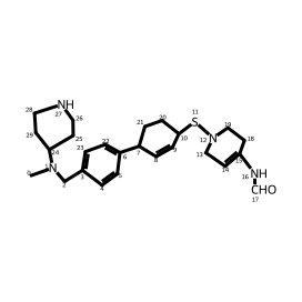 CN(Cc1ccc(C2C=CC(SN3CC=C(NC=O)CC3)CC2)cc1)C1CCNCC1